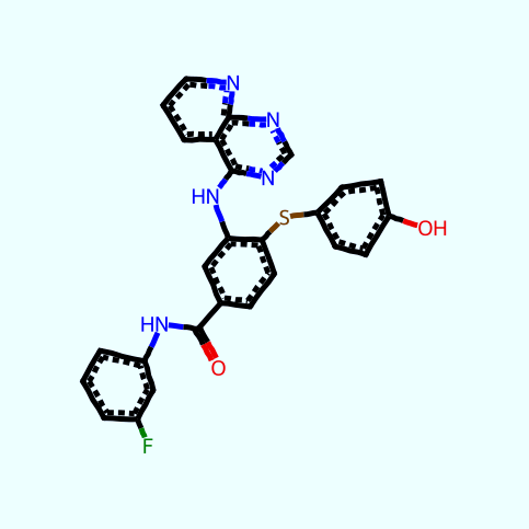 O=C(Nc1cccc(F)c1)c1ccc(Sc2ccc(O)cc2)c(Nc2ncnc3ncccc23)c1